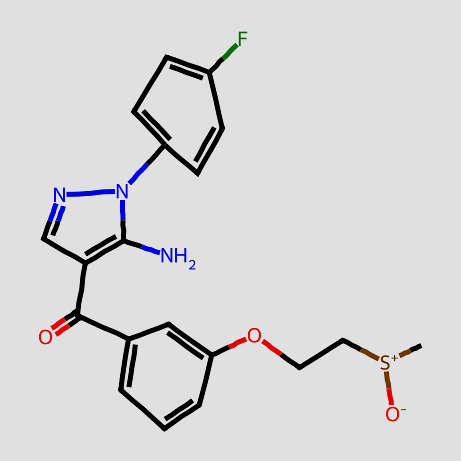 C[S+]([O-])CCOc1cccc(C(=O)c2cnn(-c3ccc(F)cc3)c2N)c1